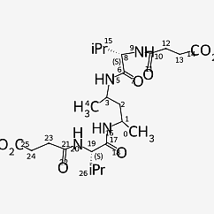 CC(CC(C)NC(=O)[C@@H](NC(=O)CCC(=O)O)C(C)C)NC(=O)[C@@H](NC(=O)CCC(=O)O)C(C)C